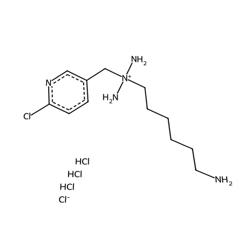 Cl.Cl.Cl.NCCCCCC[N+](N)(N)Cc1ccc(Cl)nc1.[Cl-]